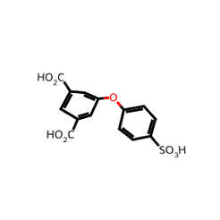 O=C(O)c1cc(Oc2ccc(S(=O)(=O)O)cc2)cc(C(=O)O)c1